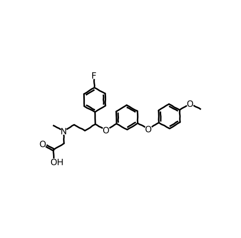 COc1ccc(Oc2cccc(OC(CCN(C)CC(=O)O)c3ccc(F)cc3)c2)cc1